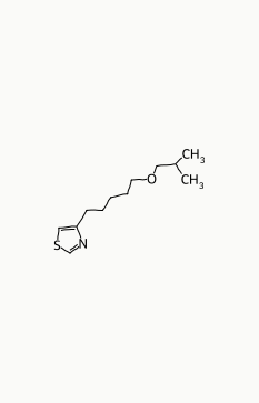 CC(C)COCCCCCc1cscn1